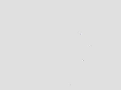 CCOc1cc2ccccc2c(F)c1CCNc1cc(-c2cccc(C(=O)O)c2OCC)ncn1